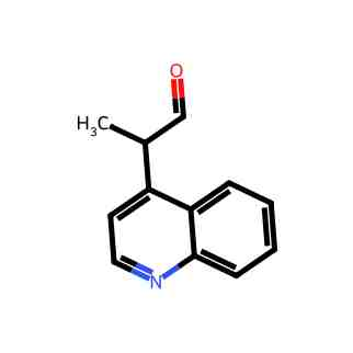 CC(C=O)c1ccnc2ccccc12